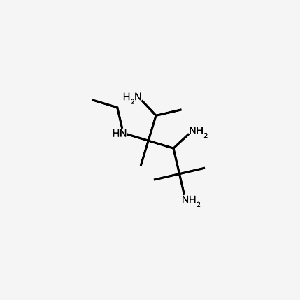 CCNC(C)(C(C)N)C(N)C(C)(C)N